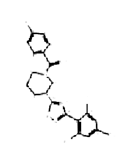 O=C(c1ccc(F)cc1)N1CCC[C@H](c2nc(-c3c(F)cc(F)cc3F)no2)C1